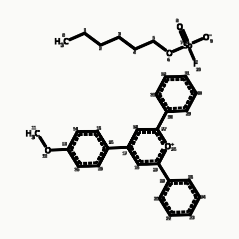 CCCCCC[O][Sb](=[O])([O-])[F].COc1ccc(-c2cc(-c3ccccc3)[o+]c(-c3ccccc3)c2)cc1